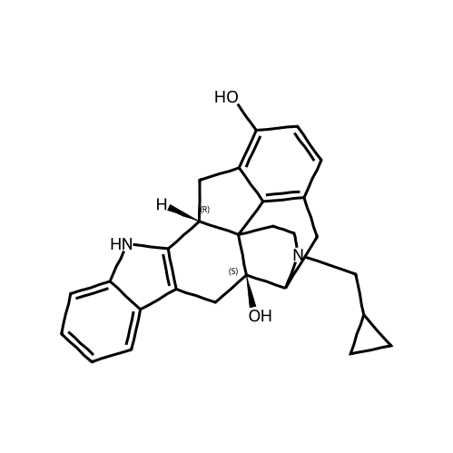 Oc1ccc2c3c1C[C@H]1c4[nH]c5ccccc5c4C[C@@]4(O)C(C2)N(CC2CC2)CCC314